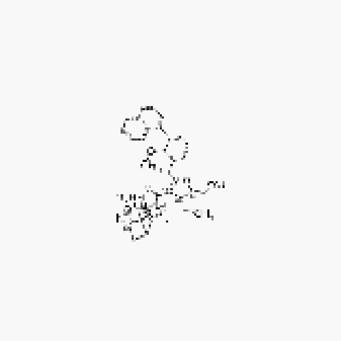 CC[C@H]1[C@H](CO)ON(Cc2cccc(-c3cccc4ccccc34)c2OC)[C@@H]1C(=O)N[C@H]1CC2C[C@@H]([C@@H]1C)C2(C)C